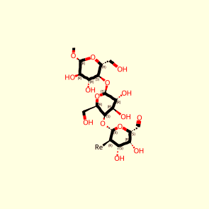 CO[C@@H]1O[C@H](CO)[C@@H](O[C@@H]2O[C@H](CO)[C@@H](O[C@@H]3O[C@H](C=O)[C@H](O)[C@H](O)[C@H]3[Re])[C@H](O)[C@H]2O)[C@H](O)[C@H]1O